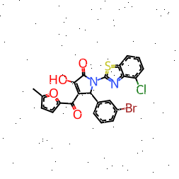 Cc1ccc(C(=O)C2=C(O)C(=O)N(c3nc4c(Cl)cccc4s3)C2c2cccc(Br)c2)o1